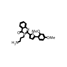 COc1ccc(-c2ccc(-c3nc4ccccc4c(=O)n3CCCN)s2)c(OC)c1